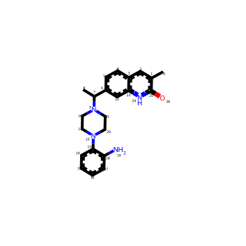 Cc1cc2ccc(C(C)N3CCN(c4ccccc4N)CC3)cc2[nH]c1=O